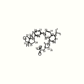 CC(C)c1cnc(N2C[C@H](CS(C)(=O)=O)[C@H]2C)c2c1C=CN(c1ccnc(N3CC[C@@H]4COC[C@@H]43)n1)C2